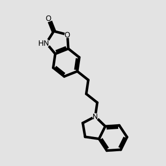 O=c1[nH]c2ccc(CCCN3CCc4ccccc43)cc2o1